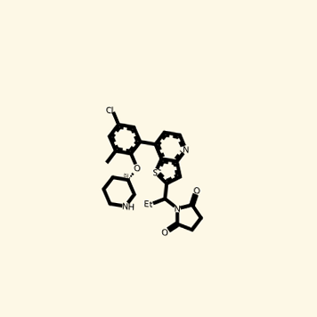 CCC(c1cc2nccc(-c3cc(Cl)cc(C)c3O[C@H]3CCCNC3)c2s1)N1C(=O)CCC1=O